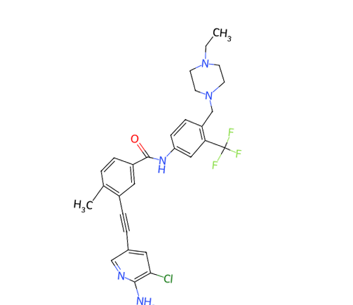 CCN1CCN(Cc2ccc(NC(=O)c3ccc(C)c(C#Cc4cnc(N)c(Cl)c4)c3)cc2C(F)(F)F)CC1